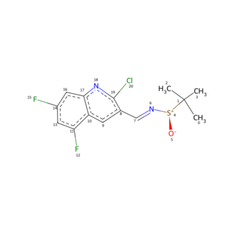 CC(C)(C)[S@@+]([O-])/N=C/c1cc2c(F)cc(F)cc2nc1Cl